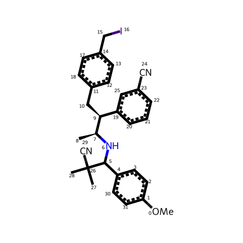 COc1ccc(C(N[C@@H](C)[C@@H](Cc2ccc(CI)cc2)c2cccc(C#N)c2)C(C)(C)C#N)cc1